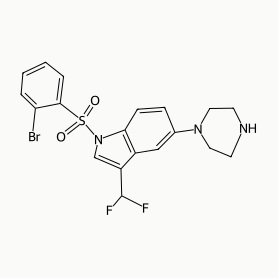 O=S(=O)(c1ccccc1Br)n1cc(C(F)F)c2cc(N3CCNCC3)ccc21